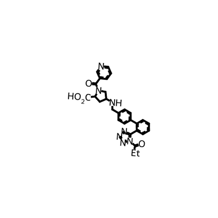 CCC(=O)n1nnnc1-c1ccccc1-c1ccc(CNC2CC(C(=O)O)N(C(=O)c3cccnc3)C2)cc1